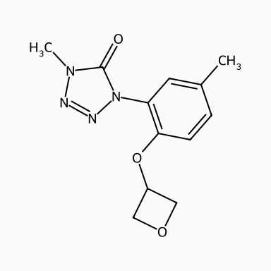 Cc1ccc(OC2COC2)c(-n2nnn(C)c2=O)c1